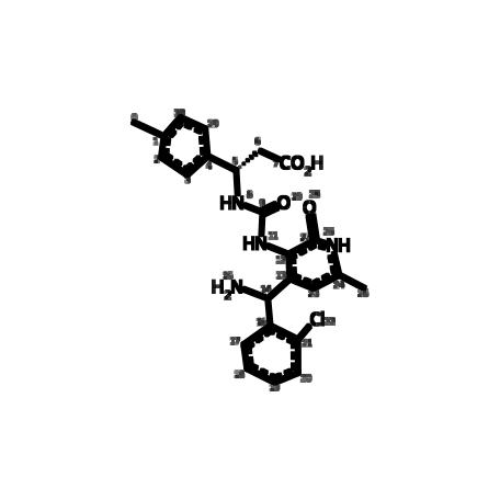 Cc1ccc([C@H](CC(=O)O)NC(=O)Nc2c(C(N)c3ccccc3Cl)cc(C)[nH]c2=O)cc1